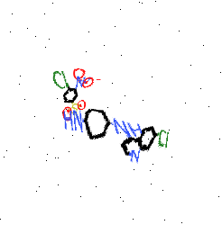 O=[N+]([O-])c1cc(S(=O)(=O)N[C@H]2CC[C@@H](Nc3ccnc4cc(Cl)ccc34)CC2)ccc1Cl